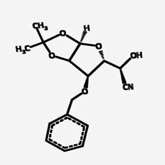 CC1(C)OC2[C@H](O[C@H]([C@@H](O)C#N)[C@H]2OCc2ccccc2)O1